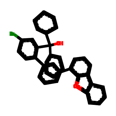 OC(c1ccccc1)(c1ccccc1)c1cc(Br)ccc1-c1cccc(-c2cccc3c2oc2ccccc23)c1